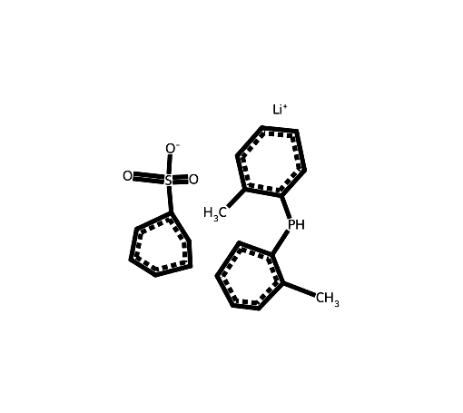 Cc1ccccc1Pc1ccccc1C.O=S(=O)([O-])c1ccccc1.[Li+]